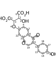 O=C(O)C(O)C(Oc1ccc2c(=O)c(-c3ccc(O)cc3)coc2c1)C(=O)O